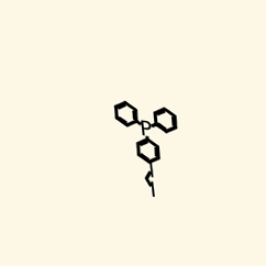 ICI.c1ccc(P(c2ccccc2)c2ccccc2)cc1